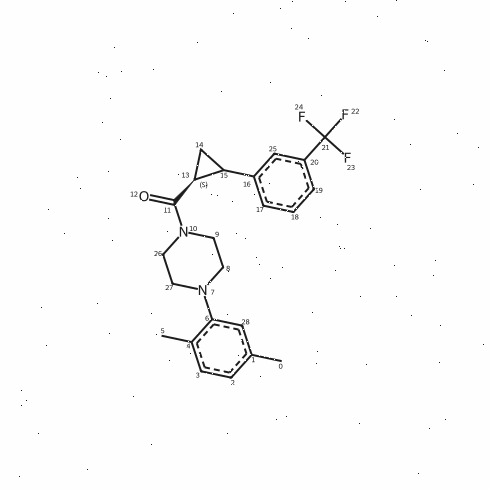 Cc1ccc(C)c(N2CCN(C(=O)[C@H]3CC3c3cccc(C(F)(F)F)c3)CC2)c1